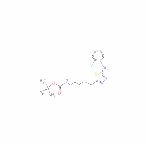 CC(C)(C)OC(=O)NCCCCCc1nnc(Nc2ccccc2F)s1